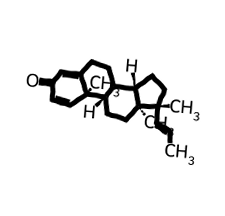 C/C=C/[C@@]1(C)CC[C@H]2C3CCC4=CC(=O)C=C[C@]4(C)[C@H]3CC[C@@]21C